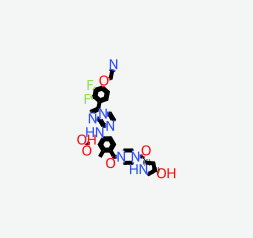 Cc1cc(Nc2nccn3c(-c4ccc(OCC#N)c(F)c4F)cnc23)ccc1C(=O)N1CCN(C(=O)[C@@H]2C[C@@H](O)CN2)CC1.O=CO